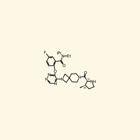 CCN(C(=O)c1cc(F)ccc1Oc1nncnc1N1CC2(CCN(C(=O)[C@H]3NCC[C@H]3C)CC2)C1)C(C)C